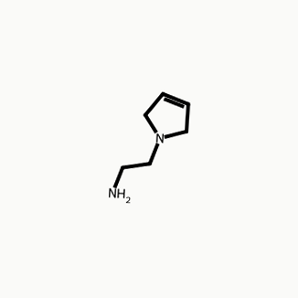 NCCN1CC=CC1